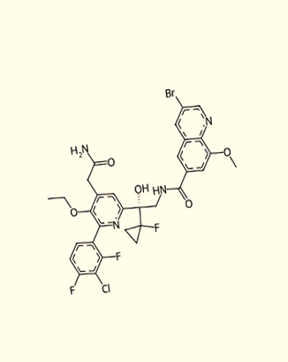 CCOc1c(CC(N)=O)cc([C@@](O)(CNC(=O)c2cc(OC)c3ncc(Br)cc3c2)C2(F)CC2)nc1-c1ccc(F)c(Cl)c1F